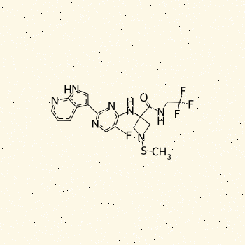 CSN1CC(Nc2nc(-c3c[nH]c4ncccc34)ncc2F)(C(=O)NCC(F)(F)F)C1